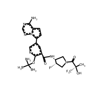 BC(B)(B)Oc1ncc(-c2ccc3c(N)ncnn23)cc1C(=O)N[C@@H]1CN(C(=O)[C@@](C)(O)C(F)(F)F)C[C@@H]1F